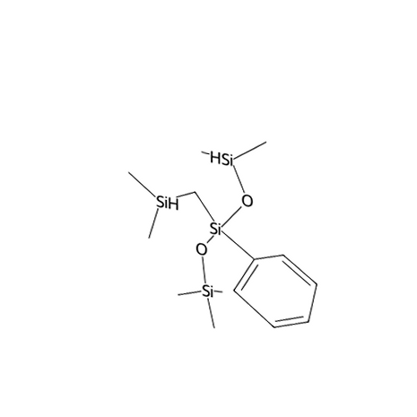 C[SiH](C)C[Si](O[SiH](C)C)(O[Si](C)(C)C)c1ccccc1